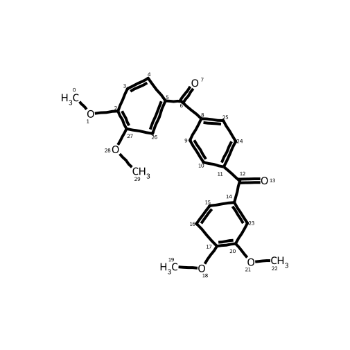 COc1ccc(C(=O)c2ccc(C(=O)c3ccc(OC)c(OC)c3)cc2)cc1OC